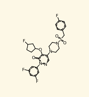 O=c1c(OC2CCC(F)C2)c(N2CCN(S(=O)(=O)Cc3ccc(F)cc3)CC2)cnn1-c1cc(F)cc(F)c1